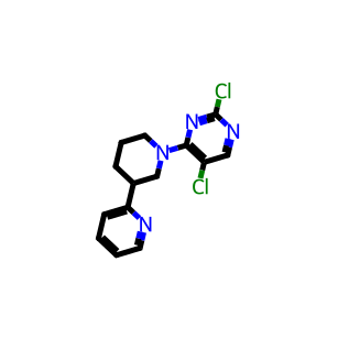 Clc1ncc(Cl)c(N2CCCC(c3ccccn3)C2)n1